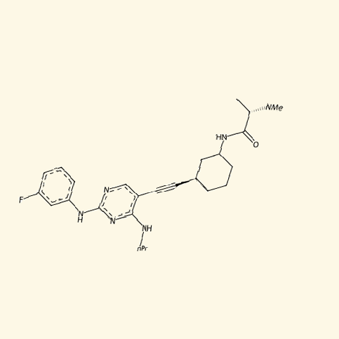 CCCNc1nc(Nc2cccc(F)c2)ncc1C#C[C@@H]1CCCC(NC(=O)[C@H](C)NC)C1